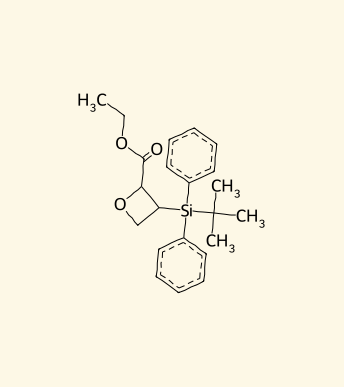 CCOC(=O)C1OCC1[Si](c1ccccc1)(c1ccccc1)C(C)(C)C